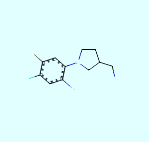 NCC1CCN(c2cc(Br)c(F)cc2N)C1